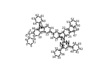 CC1(C)c2ccccc2-c2cc3c4cc(-c5ccc6c(c5)c5cc7c(cc5n6-c5nc(-c6ccccc6)cc(-c6ccccc6)n5)C(C)(C)c5ccccc5-7)ccc4n(-c4ccccc4)c3cc21